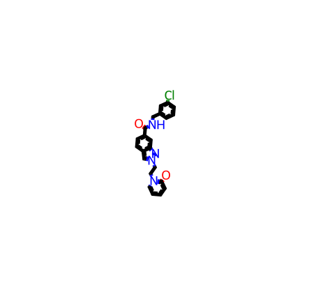 O=C(NCc1cccc(Cl)c1)c1ccc2cn(CCn3ccccc3=O)nc2c1